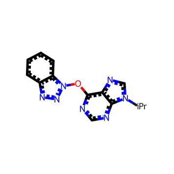 CC(C)n1cnc2c(On3nnc4ccccc43)ncnc21